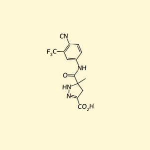 [C-]#[N+]c1ccc(NC(=O)C2(C)CC(C(=O)O)=NN2)cc1C(F)(F)F